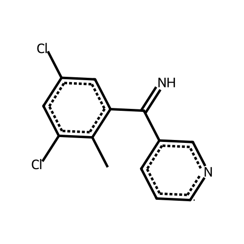 Cc1c(Cl)cc(Cl)cc1C(=N)c1cc[c]nc1